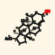 CC(=O)OC1CC[C@H]2[C@@H]3CCC4=CC(O)CC(C)[C@]4(C=O)[C@@H]3CC[C@]12C